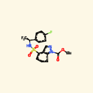 CC(C)(C)OC(=O)n1ncc2c(S(=O)(=O)N[C@H](c3ccc(F)cc3)C(F)(F)F)cccc21